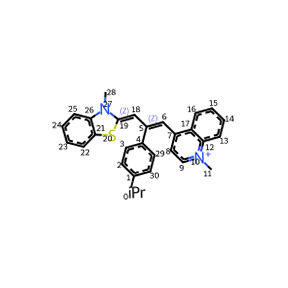 CC(C)c1ccc(C(=C\c2cc[n+](C)c3ccccc23)/C=C2\Sc3ccccc3N2C)cc1